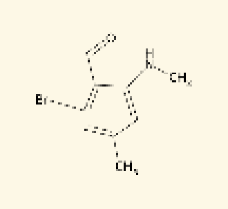 CNc1cc(C)cc(Br)c1C=O